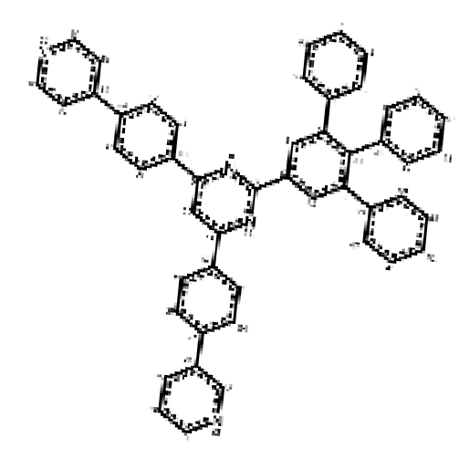 c1ccc(-c2cc(-c3nc(-c4ccc(-c5ccncc5)cc4)cc(-c4ccc(-c5cccnc5)cc4)n3)cc(-c3ccccc3)c2-c2ccccc2)cc1